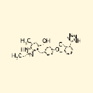 CCc1nc2c(Cc3ccc(OCc4cccc(-c5nnn[nH]5)c4Cl)cc3)c(CO)cc(C)c2[nH]1